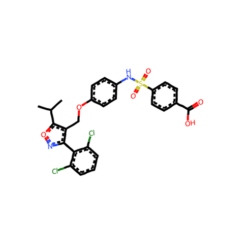 CC(C)c1onc(-c2c(Cl)cccc2Cl)c1COc1ccc(NS(=O)(=O)c2ccc(C(=O)O)cc2)cc1